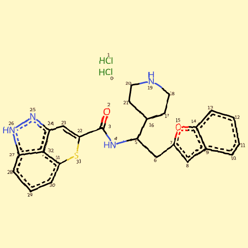 Cl.Cl.O=C(NC(Cc1cc2ccccc2o1)C1CCNCC1)C1=Cc2n[nH]c3cccc(c23)S1